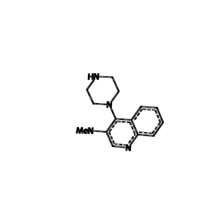 CNc1cnc2ccccc2c1N1CCNCC1